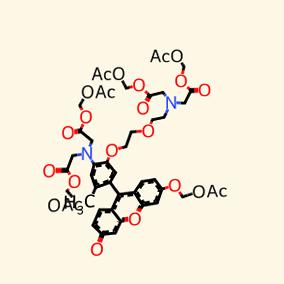 CC(=O)OCOC(=O)CN(CCOCCOc1cc(-c2c3ccc(=O)cc-3oc3cc(OCOC(C)=O)ccc23)c(C)cc1N(CC(=O)OCOC(C)=O)CC(=O)OCOC(C)=O)CC(=O)OCOC(C)=O